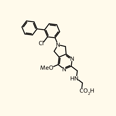 COc1nc(CNCC(=O)O)nc2c1CN(c1cccc(-c3ccccc3)c1Cl)C2